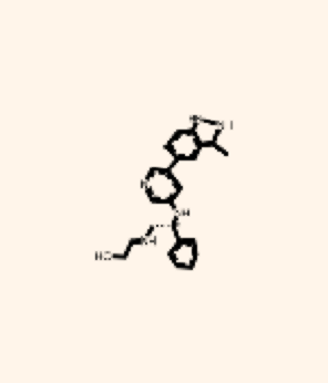 CC1NNc2ccc(-c3cncc(N[C@@H](CNCCO)c4ccccc4)c3)cc21